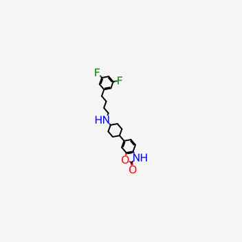 O=c1[nH]c2ccc(C3CCC(NCCCCc4cc(F)cc(F)c4)CC3)cc2o1